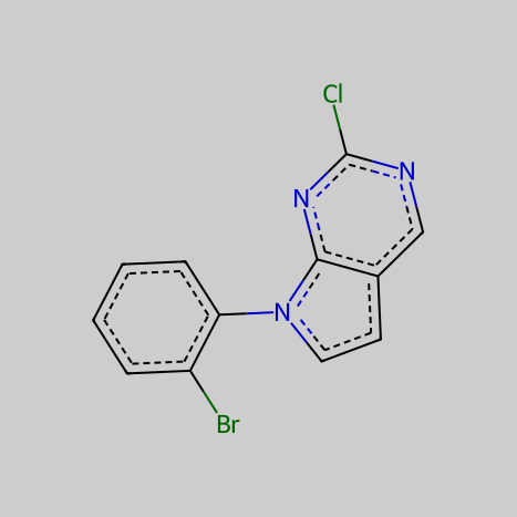 Clc1ncc2ccn(-c3ccccc3Br)c2n1